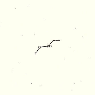 CCBOF